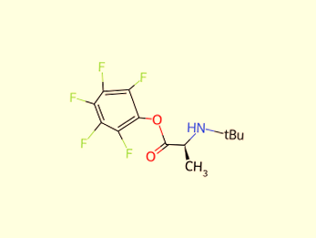 C[C@H](NC(C)(C)C)C(=O)Oc1c(F)c(F)c(F)c(F)c1F